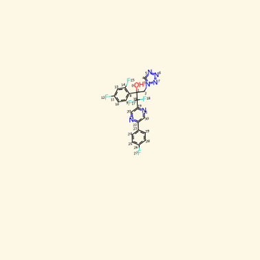 OC(Cn1cnnn1)(c1ccc(F)cc1F)C(F)(F)c1cnc(-c2ccc(F)cc2)cn1